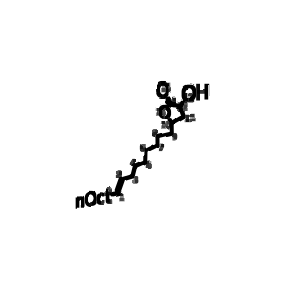 CCCCCCCCC=CCCCCCCCC1CC(O)C(=O)O1